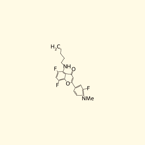 C=CCCCNc1c(F)cc(F)c2oc(-c3ccc(NC)c(F)c3)cc(=O)c12